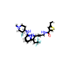 CCc1cc(C(=O)NCC#Cc2nn3c(N[C@@H]4CCN(C)C[C@@H]4F)cccc3c2CC(F)(F)F)cs1